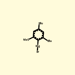 CSc1cc(C(C)(C)C)cc(C(C)(C)C)[c]1[Mg][Br]